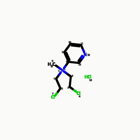 C[N+](CCCl)(CCCl)c1cccnc1.Cl